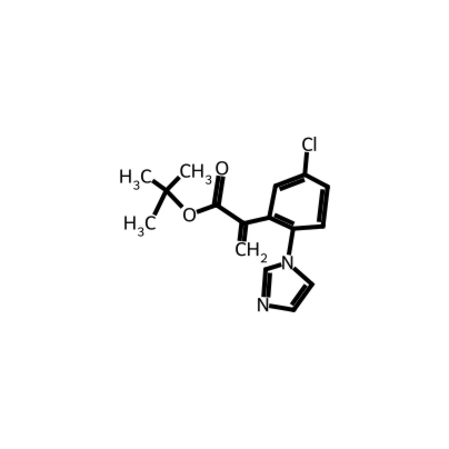 C=C(C(=O)OC(C)(C)C)c1cc(Cl)ccc1-n1ccnc1